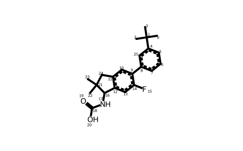 CC(C)(C)c1cccc(-c2cc3c(cc2F)C(NC(=O)O)C(C)(C)C3)c1